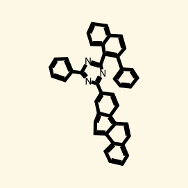 c1ccc(-c2nc(-c3ccc4c(ccc5c6ccccc6ccc45)c3)nc(-c3c(-c4ccccc4)ccc4ccccc34)n2)cc1